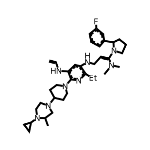 C=CNc1cc(NC/C=C(\N(C)C)N2CCCC2c2cccc(F)c2)c(CC)nc1N1CCC(N2CCN(C3CC3)C(C)C2)CC1